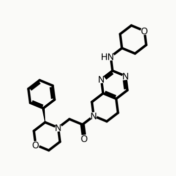 O=C(CN1CCOC[C@H]1c1ccccc1)N1CCc2cnc(NC3CCOCC3)nc2C1